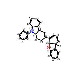 CC12C=CC=C(C3=CC4C5C=CC=CC5N(c5ccccc5)C4CC3)C1Oc1ccccc12